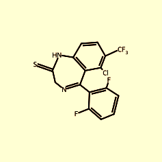 Fc1cccc(F)c1C1=NCC(=S)Nc2ccc(C(F)(F)F)c(Cl)c21